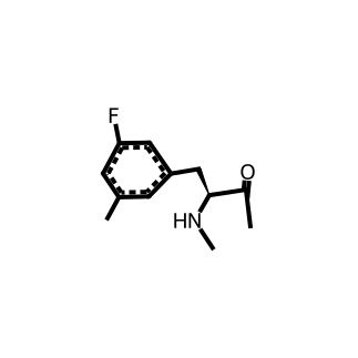 CN[C@@H](Cc1cc(C)cc(F)c1)C(C)=O